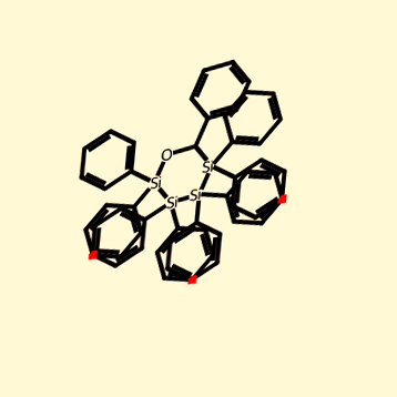 c1ccc(C2O[Si](c3ccccc3)(c3ccccc3)[Si](c3ccccc3)(c3ccccc3)[Si](c3ccccc3)(c3ccccc3)[Si]2(c2ccccc2)c2ccccc2)cc1